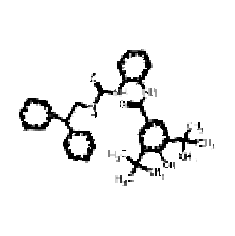 CC(C)(C)c1cc(C(=O)Nc2ccccc2NC(=O)NCC(c2ccccc2)c2ccccc2)cc(C(C)(C)C)c1O